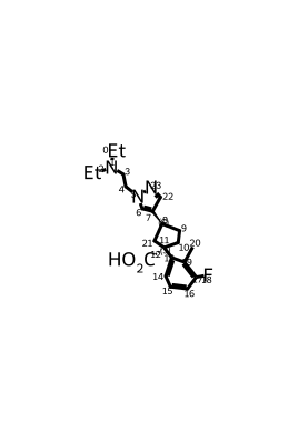 CCN(CC)CCn1cc([C@H]2CC[C@@](C(=O)O)(c3cccc(F)c3C)C2)cn1